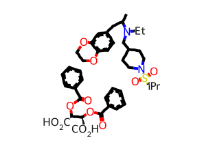 CCN(CC1CCN(S(=O)(=O)C(C)C)CC1)C(C)Cc1ccc2c(c1)OCCO2.O=C(O[C@@H](C(=O)O)[C@@H](OC(=O)c1ccccc1)C(=O)O)c1ccccc1